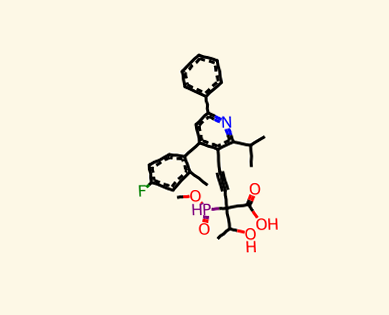 CO[PH](=O)C(C#Cc1c(-c2ccc(F)cc2C)cc(-c2ccccc2)nc1C(C)C)(C(=O)O)C(C)O